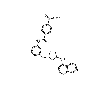 COC(=O)c1ccc(C(=O)Nc2cccc(CN3CCC(Nc4cccc5cnccc45)C3)c2)cc1